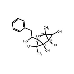 CC1(C)C(O)[C@]1(O)[C@]1(O)C(C)(C)[C@@]1(O)C(O)Cc1ccccc1